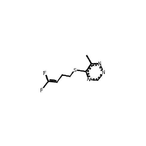 Cc1nncnc1SCCC=C(F)F